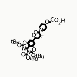 CC(C)COC(=O)N(C(=O)OC(C)(C)C)C(=NC(=O)OC(C)(C)C)c1ccc(C(=O)C[C@@H](C)C(=O)N2CCC(OCC(=O)O)CC2)cc1